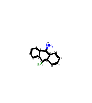 Nc1c2ccccc2c(Br)c2ccccc12